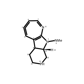 CNN1C2=C(C=C=CC=N2)C2CCPC[C@H]21